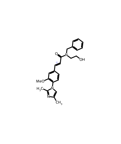 COc1cc(/C=C/C(=O)N(CCO)Cc2ccccc2)ccc1-n1cc(C)nc1C